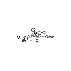 CNC[C@H](CC(C)C)NC(=O)N1CCC[C@@H]([C@@](O)(CCCCOC)c2cc(Cl)ccc2Oc2ccccc2)C1